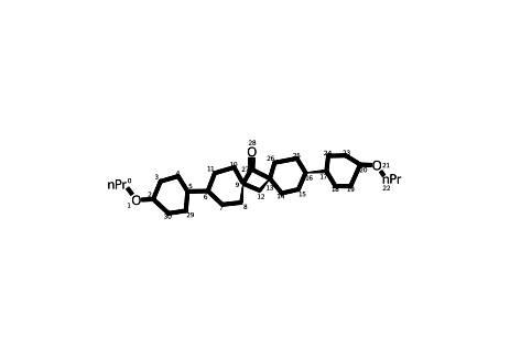 CCCOC1CCC(C2CC[C@]3(CC2)C[C@@]2(CC[C@H](C4CCC(OCCC)CC4)CC2)C3=O)CC1